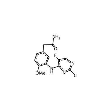 COc1ccc(CC(N)=O)cc1Nc1nc(Cl)ncc1F